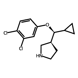 Clc1ccc(O[C@@H](C2CC2)[C@H]2CCNC2)cc1Cl